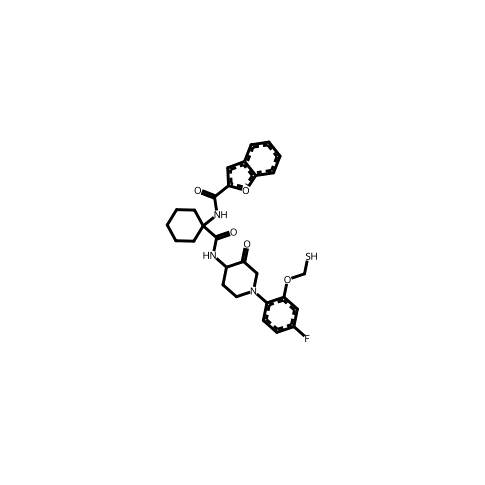 O=C(NC1(C(=O)NC2CCN(c3ccc(F)cc3OCS)CC2=O)CCCCC1)c1cc2ccccc2o1